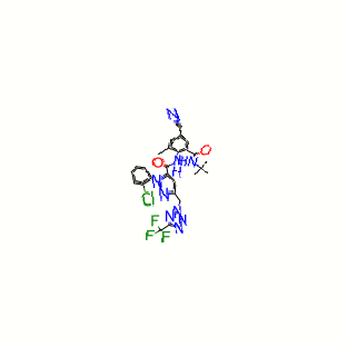 Cc1cc(C#N)cc(C(=O)NC(C)(C)C)c1NC(=O)c1cc(Cn2nnc(C(F)(F)F)n2)nn1-c1ccccc1Cl